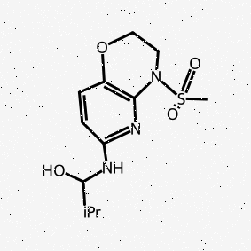 CC(C)C(O)Nc1ccc2c(n1)N(S(C)(=O)=O)CCO2